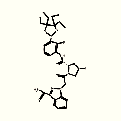 CCC1(CC)OB(c2cccc(NC(=O)[C@@H]3C[C@@H](F)CN3C(=O)Cn3nc(C(N)=O)c4ccccc43)c2F)OC1(CC)CC